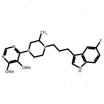 COc1ncnc(N2CCN(CCCc3c[nH]c4ccc(F)cc34)C(C)C2)c1OC